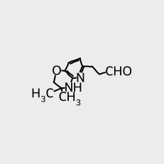 CC1(C)COc2ccc(CCC=O)nc2N1